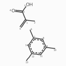 C=C(C)C(=O)O.Cc1cc(C)cc(C)c1